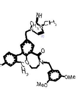 COc1cc(CN2CCOc3c(cc(CN(C)/C=C\N(C)C=N)cc3-c3ccc(F)cc3C)C2=O)cc(OC)c1